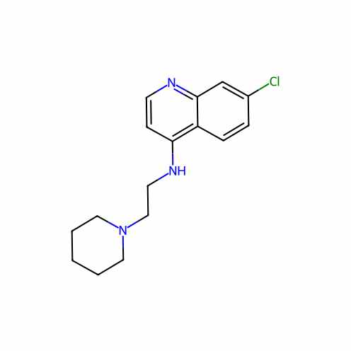 Clc1ccc2c(NCCN3CCCCC3)ccnc2c1